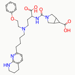 O=C(O)C(CCN(CCCCc1ccc2c(n1)NCCC2)CCOc1ccccc1)NC(=O)N1CC2C(C1)C2C(=O)O